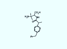 CC(C)Cc1ccc(C(C)C(=O)NC(C(=O)O)C(C)(C)N)cc1